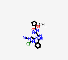 COC1(c2nc(-c3nnc4n3C3=CN(C#N)C(Cl)N3c3ccccc3-4)no2)CCCC1